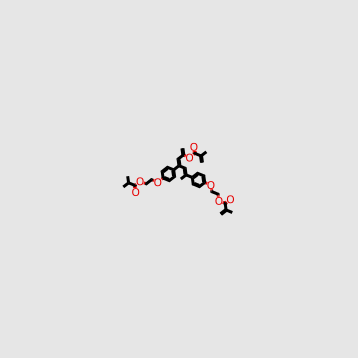 C=C(/C=C(\C=C(/C)c1ccc(OCCOC(=O)C(=C)C)cc1)c1ccc(OCCOC(=O)C(C)C)cc1)OC(=O)C(=C)C